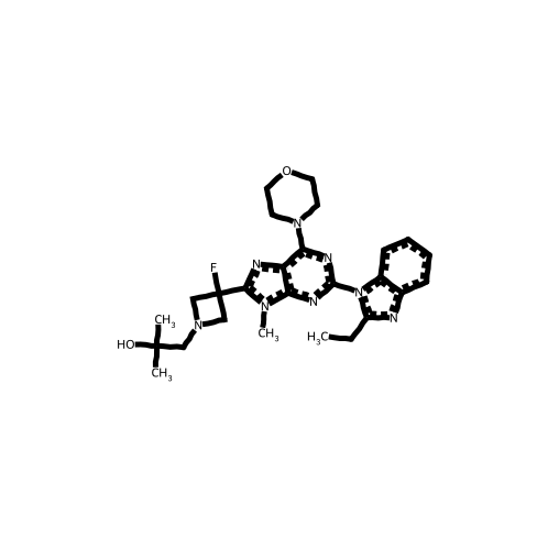 CCc1nc2ccccc2n1-c1nc(N2CCOCC2)c2nc(C3(F)CN(CC(C)(C)O)C3)n(C)c2n1